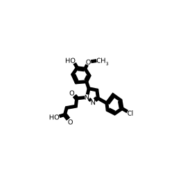 COc1cc(C2CC(c3ccc(Cl)cc3)=NN2C(=O)CCC(=O)O)ccc1O